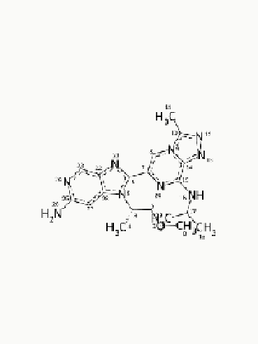 COC[C@H](C)n1c(-c2cn3c(C)nnc3c(NC(C)C)n2)nc2cnc(N)cc21